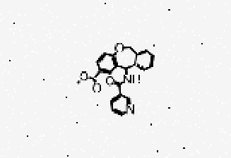 COC(=O)c1ccc2c(c1)C(NC(=O)c1cccnc1)c1ccccc1CO2